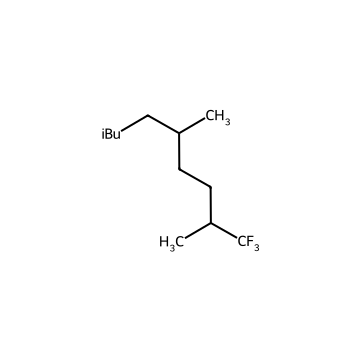 CCC(C)CC(C)CCC(C)C(F)(F)F